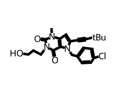 Cn1c(=O)n(CCCO)c(=O)c2c1cc(C#CC(C)(C)C)n2Cc1ccc(Cl)cc1